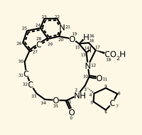 O=C1N[C@@H](C2CCCCC2)C(=O)N2C(I)[C@@H](C[C@H]2C(=O)O)Oc2nccc3ccc(cc23)CCCCCO1